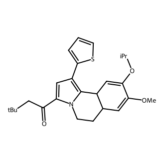 COC1=CC2CCn3c(C(=O)CC(C)(C)C)cc(-c4cccs4)c3C2C=C1OC(C)C